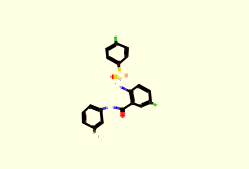 CSc1cccc(NC(=O)c2cc(Cl)ccc2NS(=O)(=O)c2ccc(Cl)cc2)c1